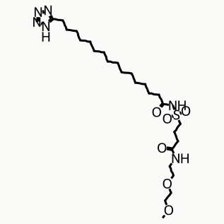 COCCOCCNC(=O)CCCS(=O)(=O)NC(=O)CCCCCCCCCCCCCCCc1nnn[nH]1